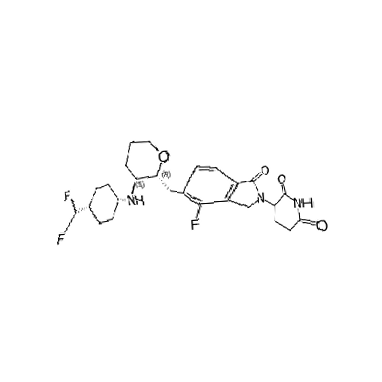 O=C1CCC(N2Cc3c(ccc(C[C@H]4OCCC[C@@H]4N[C@H]4CC[C@@H](C(F)F)CC4)c3F)C2=O)C(=O)N1